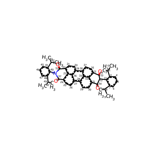 CC(C)c1cccc(C(C)C)c1C1C(=O)c2ccc3c4ccc5c6c(ccc(c7ccc(c2c37)C1=O)c64)C(=O)N(c1c(C(C)C)cccc1C(C)C)C5=O